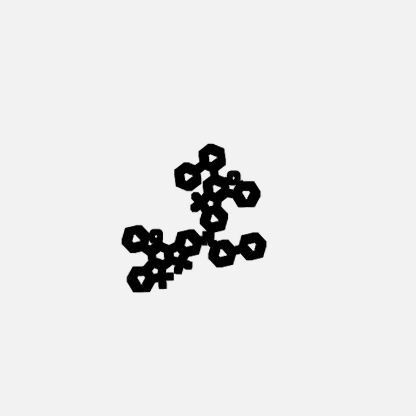 CC1(C)c2cc(N(c3cccc(-c4ccccc4)c3)c3ccc4c(c3)C(C)(C)c3c5c(c6c(oc7ccccc76)c3-4)-c3ccccc3C5(C)C)ccc2-c2c1cc(-c1ccccc1-c1ccccc1)c1oc3ccccc3c21